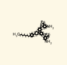 CCCCCCCCc1ccc(C2CCC(c3ccc(Oc4ccc(N)cc4C(F)(F)F)cc3)(c3ccc(Oc4ccc(N)cc4C(F)(F)F)cc3)CC2)cc1